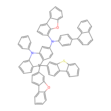 c1ccc(N2c3ccccc3[Si](c3ccc4c(c3)oc3ccccc34)(c3ccc4c(c3)sc3ccccc34)c3ccc(N(c4ccc(-c5cccc6ccccc56)cc4)c4cccc5c4oc4ccccc45)cc32)cc1